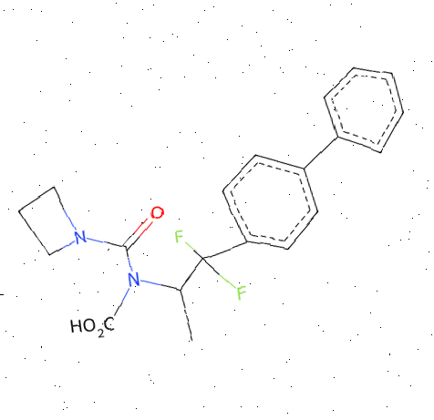 CC(N(C(=O)O)C(=O)N1CCC1)C(F)(F)c1ccc(-c2ccccc2)cc1